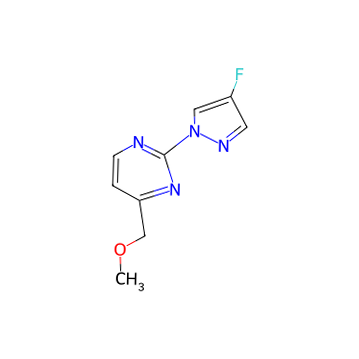 COCc1ccnc(-n2cc(F)cn2)n1